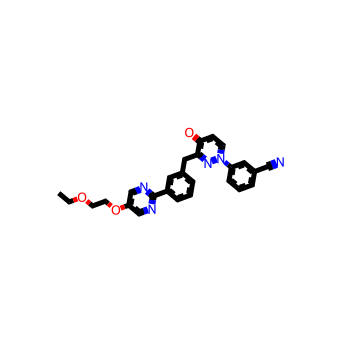 CCOCCOc1cnc(-c2cccc(Cc3nn(-c4cccc(C#N)c4)ccc3=O)c2)nc1